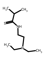 CCN(CC)CCNC(=S)C(C)C